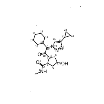 CNC(=O)[C@@H]1CC(O)CN1C(=O)C(C1CCCCC1)n1cc(C2CC2)nn1